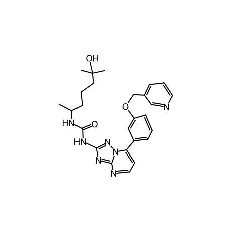 CC(CCCC(C)(C)O)NC(=O)Nc1nc2nccc(-c3cccc(OCc4cccnc4)c3)n2n1